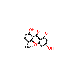 COc1ccc(O)c2c(=O)c3c(O)cc(O)cc3oc12